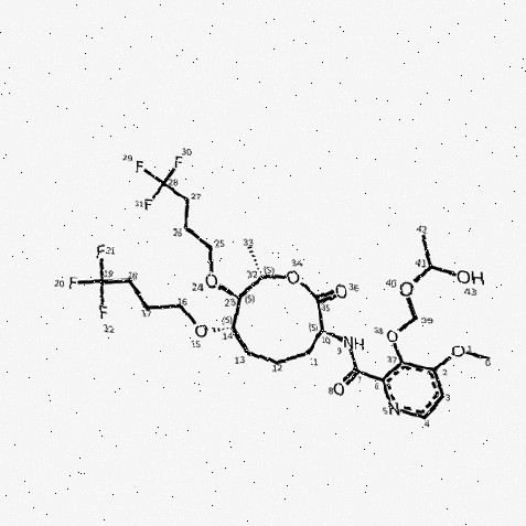 COc1ccnc(C(=O)N[C@H]2CCC[C@H](OCCCC(F)(F)F)[C@@H](OCCCC(F)(F)F)[C@H](C)OC2=O)c1OCOC(C)O